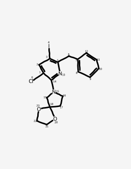 Clc1cc(I)c(Cc2ccccc2)nc1N1CCC2(C1)OCCO2